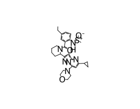 CCc1ccc(N[S+](C)[O-])c(C(=O)N2CCCCC2c2cc3nc(C4CC4)cc(N4CCOCC4)n3n2)c1